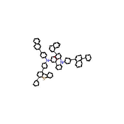 c1ccc(-c2ccc(-c3ccc(N(c4ccc(-c5cccc6ccccc56)cc4)c4ccccc4-c4cccc(N(c5ccc(-c6ccc7ccccc7c6)cc5)c5ccc(-c6ccc(-c7ccccc7)c7sc8ccccc8c67)cc5)c4)cc3)c3ccccc23)cc1